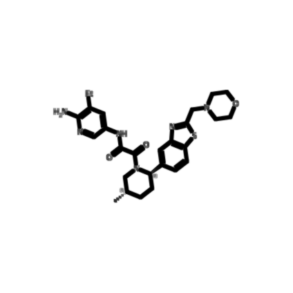 CCc1cc(NC(=O)C(=O)N2C[C@@H](C)CC[C@@H]2c2ccc3sc(CN4CCOCC4)nc3c2)cnc1N